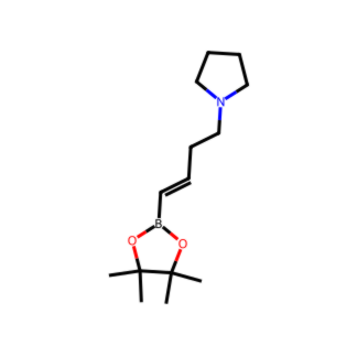 CC1(C)OB(/C=C/CCN2CCCC2)OC1(C)C